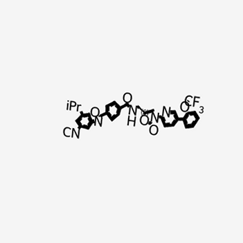 [C-]#[N+]c1cc(C(C)C)c2oc(-c3ccc(C(=O)NC[C@H]4CN(c5ccc(-c6ccccc6OC(F)(F)F)cn5)C(=O)O4)cc3)nc2c1